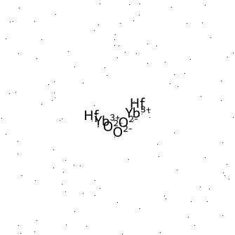 [Hf].[Hf].[O-2].[O-2].[O-2].[Yb+3].[Yb+3]